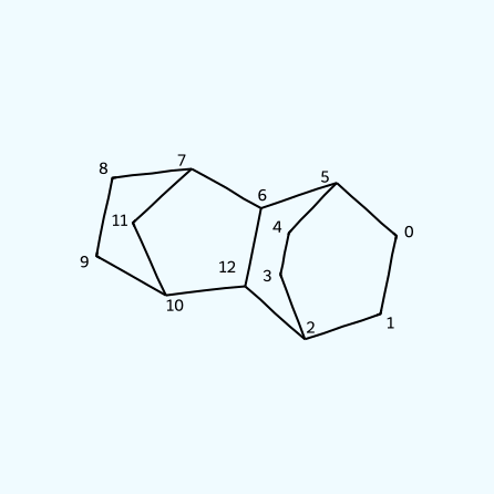 C1CC2CCC1C1C3CCC(C3)C21